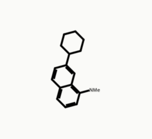 CNc1cccc2ccc(C3CCCCC3)cc12